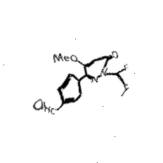 COc1cc(=O)n(C(F)F)nc1-c1ccc(C=O)cc1